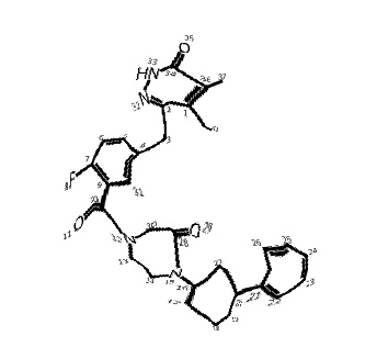 Cc1c(Cc2ccc(F)c(C(=O)N3CCN(C4CCCC(c5ccccc5)C4)C(=O)C3)c2)n[nH]c(=O)c1C